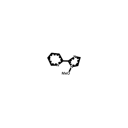 COn1ccnc1-c1ccccn1